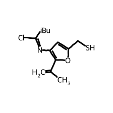 C=C(C)c1oc(CS)cc1/N=C(/Cl)C(C)CC